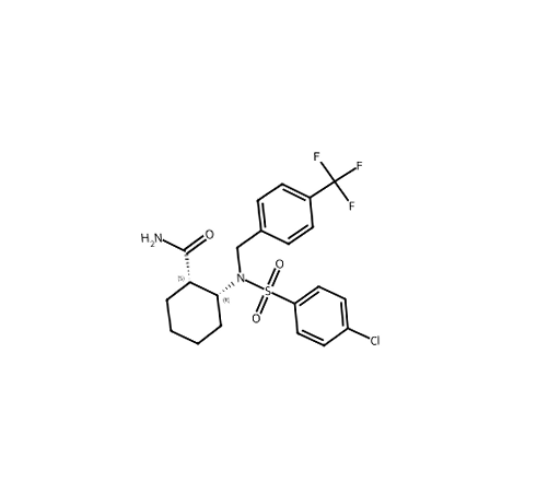 NC(=O)[C@H]1CCCC[C@H]1N(Cc1ccc(C(F)(F)F)cc1)S(=O)(=O)c1ccc(Cl)cc1